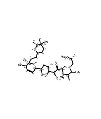 CCCC(OC[C@@H](CC)C(=O)O)[C@@H](C)[C@H](O)[C@H](C)C(=O)C(CC)C(O)[C@@H](C)C[C@@H](C)[C@@H]1C=CC(O)[C@@](CC)(OCC2CC[C@@](C)(O)[C@H](C)O2)O1